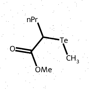 CCCC([Te]C)C(=O)OC